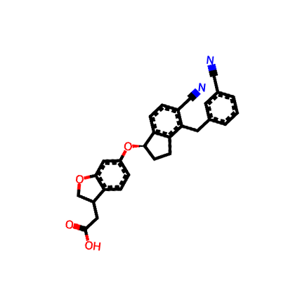 N#Cc1cccc(Cc2c(C#N)ccc3c2CC[C@H]3Oc2ccc3c(c2)OCC3CC(=O)O)c1